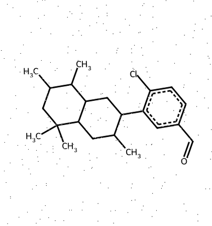 CC1CC2C(CC1c1cc(C=O)ccc1Cl)C(C)C(C)CC2(C)C